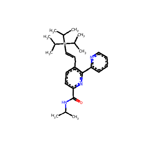 CC(C)NC(=O)c1ccc(/C=C/[Si](C(C)C)(C(C)C)C(C)C)c(-c2ccccn2)n1